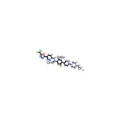 COc1cc(-c2ccc(N3CCN(CC(F)(F)F)CC3)nc2)c(F)cc1N(C=O)Cc1ccc(-c2nnc(C(F)F)o2)cn1